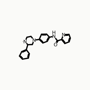 O=C(Nc1ccc(N2CC[N]C(c3ccccc3)C2)cc1)c1ccccn1